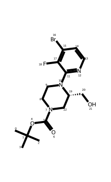 CC(C)(C)OC(=O)N1CCN(c2nccc(Br)c2F)[C@H](CO)C1